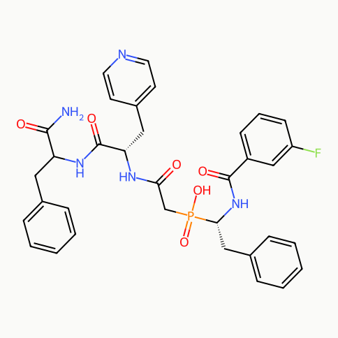 NC(=O)C(Cc1ccccc1)NC(=O)[C@H](Cc1ccncc1)NC(=O)CP(=O)(O)[C@@H](Cc1ccccc1)NC(=O)c1cccc(F)c1